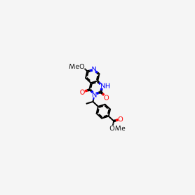 COC(=O)c1ccc(C(C)n2c(=O)[nH]c3cnc(OC)cc3c2=O)cc1